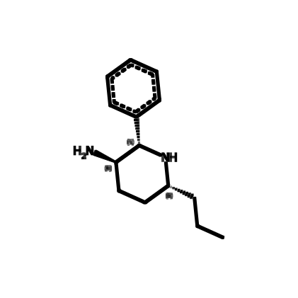 CCC[C@@H]1CC[C@@H](N)[C@H](c2ccccc2)N1